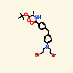 C[C@H](NC(=O)c1ccc(Cc2ccc(N(CCBr)CCBr)cc2)cc1)C(=O)OC(C)(C)C